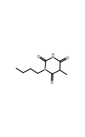 CCCCN1C(=O)NC(=O)C(C)C1=O